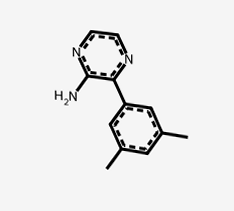 Cc1cc(C)cc(-c2nccnc2N)c1